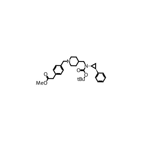 COC(=O)Cc1ccc(CN2CCC(CN(C(=O)OC(C)(C)C)[C@@H]3C[C@H]3c3ccccc3)CC2)cc1